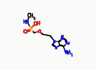 CNP(=O)(O)COCCn1cnc2c(N)ncnc21